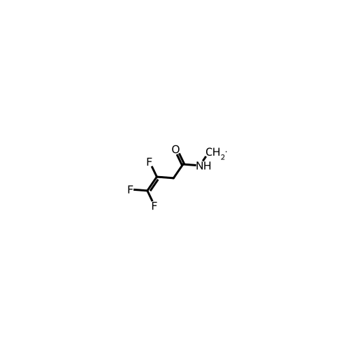 [CH2]NC(=O)CC(F)=C(F)F